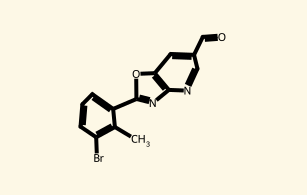 Cc1c(Br)cccc1-c1nc2ncc(C=O)cc2o1